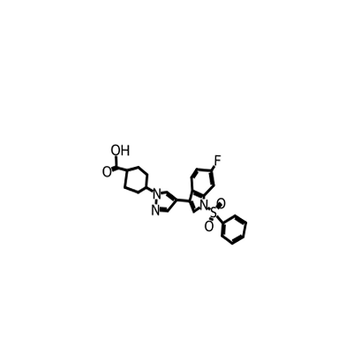 O=C(O)C1CCC(n2cc(-c3cn(S(=O)(=O)c4ccccc4)c4cc(F)ccc34)cn2)CC1